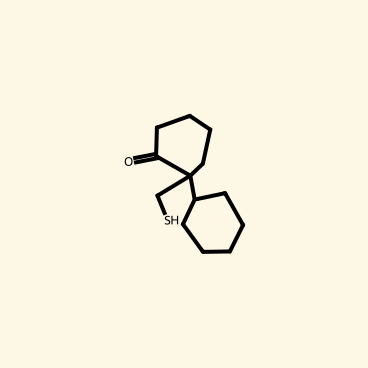 O=C1CCCCC1(CS)C1CCCCC1